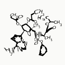 CCC(=O)O[C@H]1[C@H](c2ccc3c(N)ncnn23)O[C@](C)(CO[P@@](=O)(N[C@@H](C)C(=O)OC(C)C)Oc2ccccc2)[C@H]1OC(=O)CC